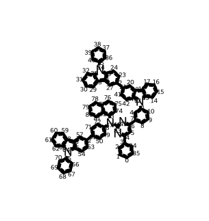 c1ccc(-c2cc(-c3cccc(-n4c5ccccc5c5cc(-c6ccc7c(c6)c6ccccc6n7-c6ccccc6)ccc54)c3)nc(N(c3ccc(-c4ccc5c(c4)c4ccccc4n5-c4ccccc4)cc3)c3cccc4ccccc34)n2)cc1